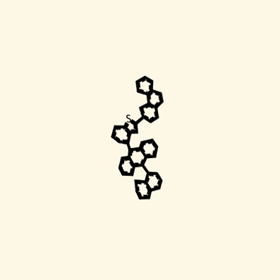 c1ccc2c(-c3c4ccccc4c(-c4cccc5sc(-c6ccc7ccc8ccccc8c7c6)cc45)c4ccccc34)cccc2c1